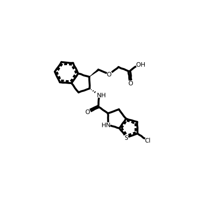 O=C(O)COC[C@@H]1c2ccccc2C[C@H]1NC(=O)C1Cc2cc(Cl)sc2N1